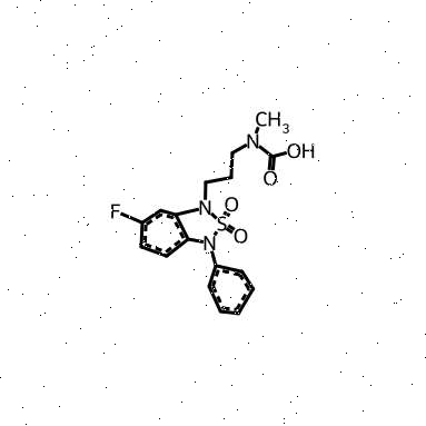 CN(CCCN1c2cc(F)ccc2N(c2ccccc2)S1(=O)=O)C(=O)O